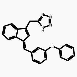 C1=C(Cc2nnn[nH]2)c2ccccc2/C1=C/c1cccc(Oc2ccccc2)c1